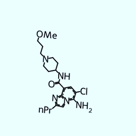 CCCc1cn2c(N)c(Cl)cc(C(=O)NC3CCN(CCCOC)CC3)c2n1